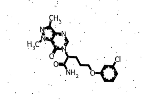 Cc1nn(C)c2c(=O)n(C(CCCOc3cccc(Cl)c3)C(N)=O)cnc12